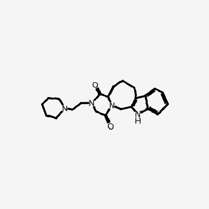 O=C1C2CCCc3c([nH]c4ccccc34)CN2C(=O)CN1CCN1CCCCC1